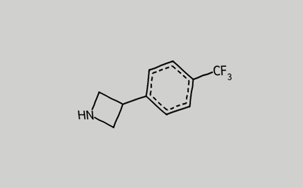 FC(F)(F)c1ccc(C2CNC2)cc1